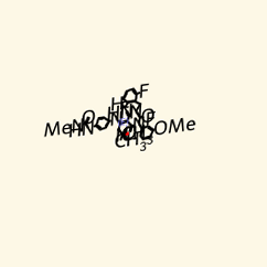 CNC(=O)Nc1ccc(N/C(CN(C)C)=C2\C(=N)N(Cc3c(F)cccc3F)C(=O)N(c3cccc(OC)c3F)C2=O)cc1